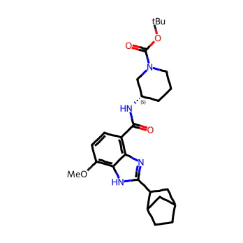 COc1ccc(C(=O)N[C@H]2CCCN(C(=O)OC(C)(C)C)C2)c2nc(C3CC4CCC3C4)[nH]c12